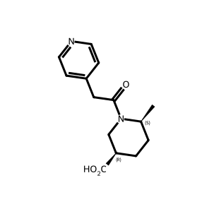 C[C@H]1CC[C@@H](C(=O)O)CN1C(=O)Cc1ccncc1